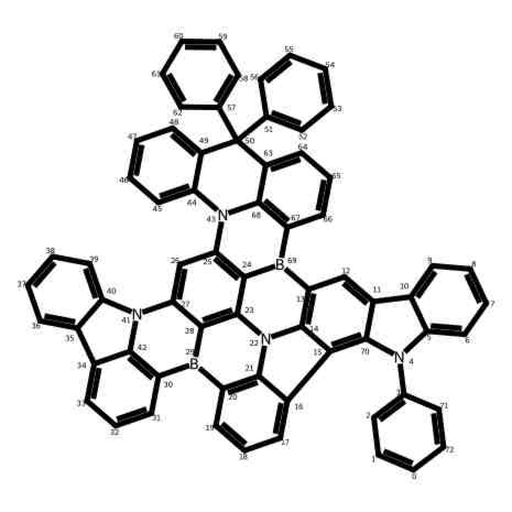 c1ccc(-n2c3ccccc3c3cc4c5c(c6cccc7c6n5-c5c6c(cc8c5B7c5cccc7c9ccccc9n-8c57)N5c7ccccc7C(c7ccccc7)(c7ccccc7)c7cccc(c75)B64)c32)cc1